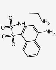 CCN.Nc1ccc(S(=O)(=O)S(N)(=O)=O)c2ccccc12